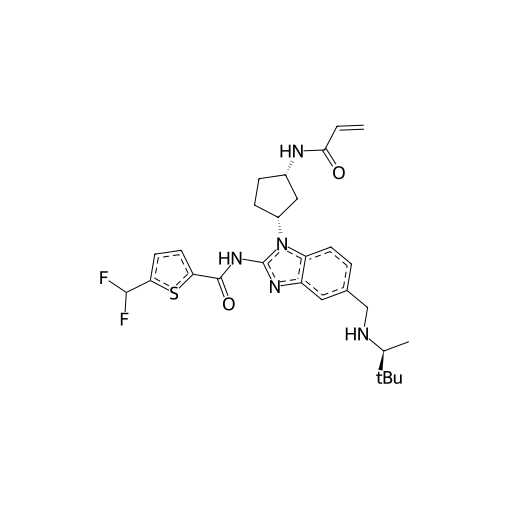 C=CC(=O)N[C@H]1CC[C@@H](n2c(NC(=O)c3ccc(C(F)F)s3)nc3cc(CN[C@@H](C)C(C)(C)C)ccc32)C1